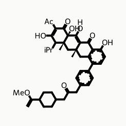 C=C(OC)C1CCC(CC(=O)Cc2ccc(-c3ccc(O)c4c3C[C@]3(C)C[C@]5(C)C(C(C)C)C(O)=C(C(C)=O)C(=O)[C@]5(O)C(O)=C3C4=O)cc2)CC1